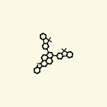 CC1(C)c2ccccc2-c2ccc(-c3cc(-c4ccc5c(c4)C(C)(C)c4ccccc4-5)c4ccc5c6sc7ccccc7c6cc6ccc3c4c65)cc21